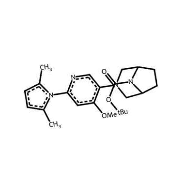 COc1cc(-n2c(C)ccc2C)ncc1N1CC2CCC(C1)N2C(=O)OC(C)(C)C